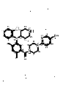 Cc1cc(C)c(N(c2ccccc2Cl)C2CCNCC2)cc1C(=O)N1CCN(c2ccc(F)cn2)CC1